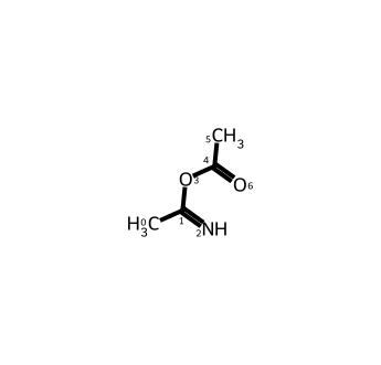 CC(=N)OC(C)=O